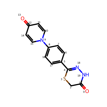 O=C1CSC(c2ccc(-n3ccc(=O)cc3)cc2)=NN1